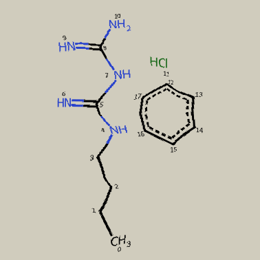 CCCCNC(=N)NC(=N)N.Cl.c1ccccc1